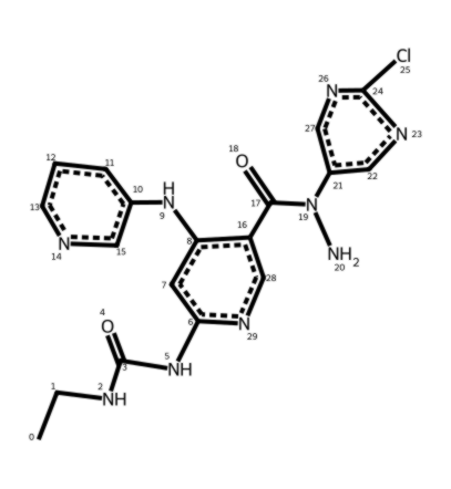 CCNC(=O)Nc1cc(Nc2cccnc2)c(C(=O)N(N)c2cnc(Cl)nc2)cn1